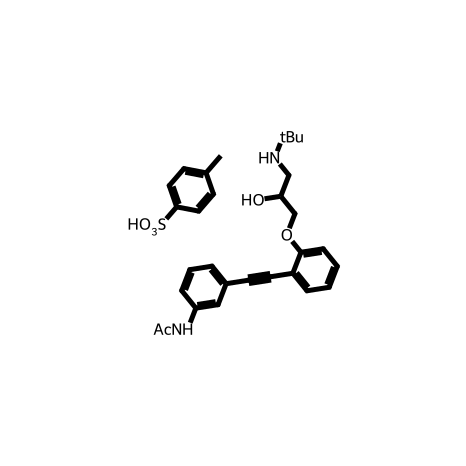 CC(=O)Nc1cccc(C#Cc2ccccc2OCC(O)CNC(C)(C)C)c1.Cc1ccc(S(=O)(=O)O)cc1